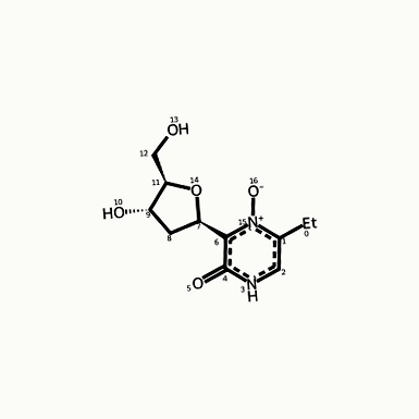 CCc1c[nH]c(=O)c([C@H]2C[C@H](O)[C@@H](CO)O2)[n+]1[O-]